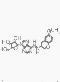 COc1ccc2c(c1)CC(NNc1ncnc3c1ncn3[C@@H]1O[C@H](CO)[C@@H](O)[C@H]1O)CO2